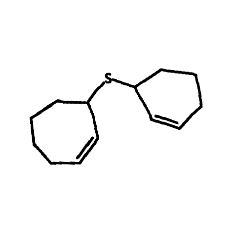 C1=CC(SC2C=CCCC2)CCCC1